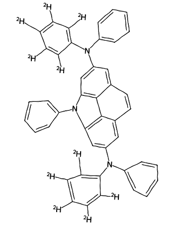 [2H]c1c([2H])c([2H])c(N(c2ccccc2)c2cc3ccc4cc(N(c5ccccc5)c5c([2H])c([2H])c([2H])c([2H])c5[2H])cc5c4c3c(c2)n5-c2ccccc2)c([2H])c1[2H]